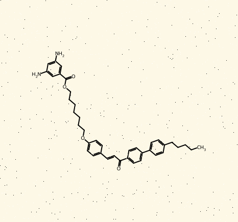 CCCCCc1ccc(-c2ccc(C(=O)C=Cc3ccc(OCCCCCCCOC(=O)c4cc(N)cc(N)c4)cc3)cc2)cc1